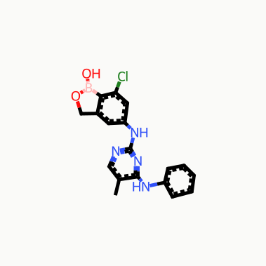 Cc1cnc(Nc2cc(Cl)c3c(c2)COB3O)nc1Nc1ccccc1